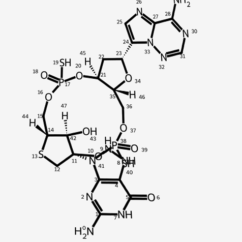 Nc1nc2c(c(=O)[nH]1)NNN2[C@@]12CS[C@H](COP(=O)(S)O[C@H]3C[C@H](c4cnc5c(N)ncnn45)O[C@@H]3COP(=O)(S)O1)[C@H]2O